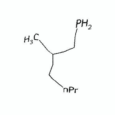 CCCCC(C)CP